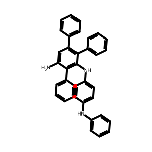 Nc1cc(-c2ccccc2)c(-c2ccccc2)c(Nc2ccc(Nc3ccccc3)cc2)c1-c1ccccc1